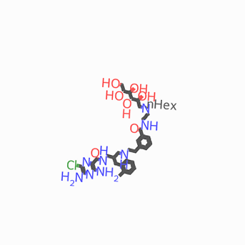 CCCCCCN(CCNC(=O)c1cccc(CCNCC(CNC(=O)c2nc(Cl)c(N)nc2N)Cc2ccccc2C)c1)CC(O)C(O)C(O)C(O)CO